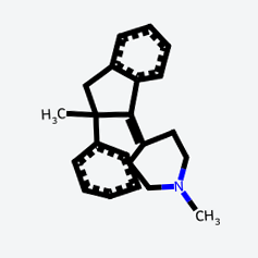 CN1CCC(=C2c3ccccc3CC2(C)c2ccccc2)CC1